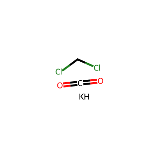 ClCCl.O=C=O.[KH]